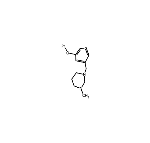 CC(C)Oc1cccc(CN2CCCN(C)C2)c1